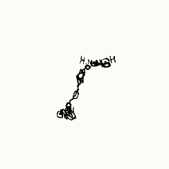 CN1C(=O)CCC(n2c(=O)n(C)c3cc(CCCOCCCCN4CCN(Cc5ccc(-c6cc(-c7ccccc7O)nnc6N)cc5)CC4)ccc32)C1=O